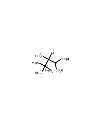 CCCCCCCC(C(=O)O)C(O)(C(=O)O)C(CCCCCCC)(CCCCCCC)C(=O)O